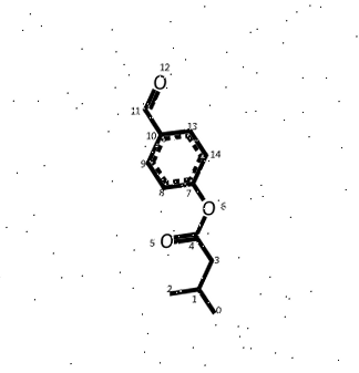 CC(C)CC(=O)Oc1ccc(C=O)cc1